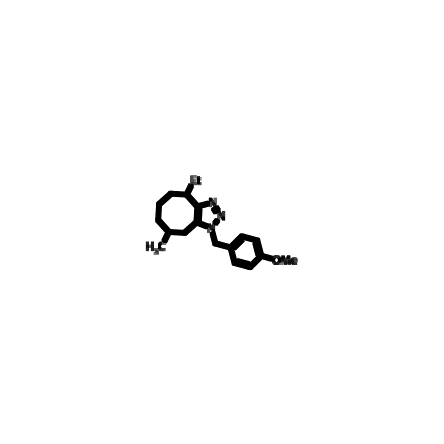 CCC1CCCC(C)Cc2c1nnn2Cc1ccc(OC)cc1